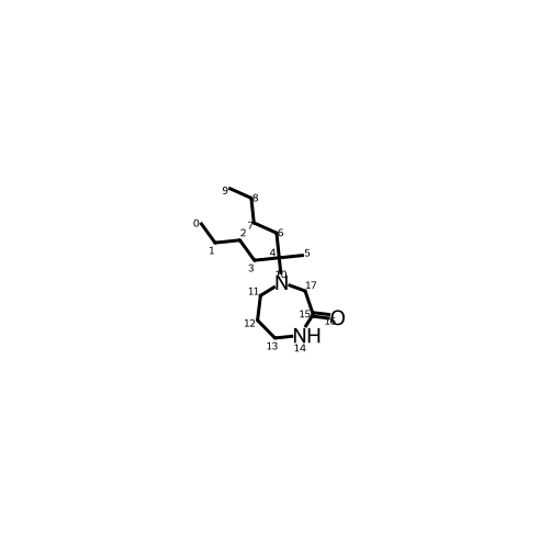 CCCCC(C)(CCCC)N1CCCNC(=O)C1